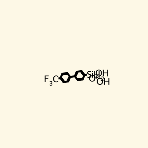 OC(O)O[SiH2]c1ccc(-c2ccc(C(F)(F)F)cc2)cc1